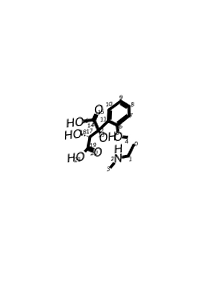 CCNC.COc1ccccc1[C@](O)(C(=O)O)[C@@H](O)C(=O)O